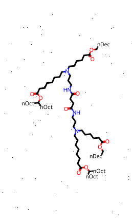 CCCCCCCCCCCOC(=O)CCCCCN(CCCCCCCC(=O)OC(CCCCCCCC)CCCCCCCC)CCCNC(=O)CCC(=O)NCCCN(CCCCCCCC(=O)OC(CCCCCCCC)CCCCCCCC)CCCCCC(=O)OCCCCCCCCCCC